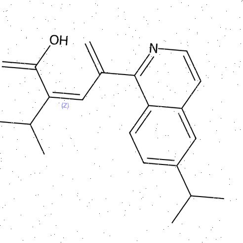 C=C(O)/C(=C\C(=C)c1nccc2cc(C(C)C)ccc12)C(C)C